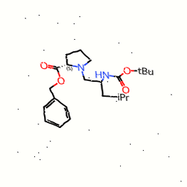 CC(C)CC(CN1CCC[C@H]1C(=O)OCc1ccccc1)NC(=O)OC(C)(C)C